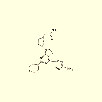 C[C@]1(N2CCc3c(-c4cnc(N)nc4)nc(N4CCOCC4)nc32)CCN(CC(N)=O)C1